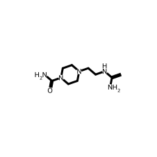 C=C(N)NCCN1CCN(C(N)=O)CC1